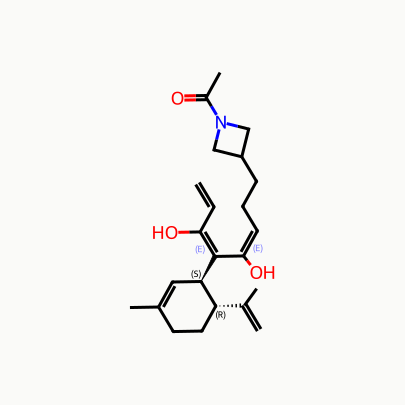 C=C/C(O)=C(\C(O)=C/CCC1CN(C(C)=O)C1)[C@@H]1C=C(C)CC[C@H]1C(=C)C